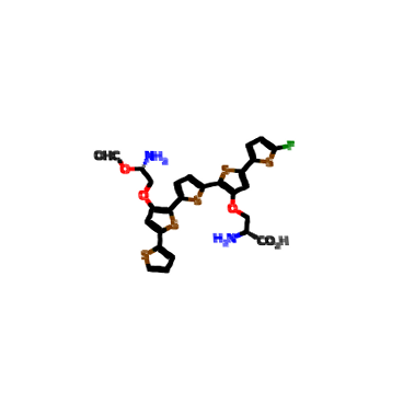 N[C@H](COc1cc(-c2cccs2)sc1-c1ccc(-c2sc(-c3ccc(F)s3)cc2OC[C@H](N)C(=O)O)s1)OC=O